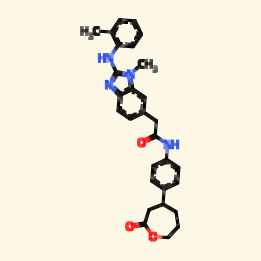 Cc1ccccc1Nc1nc2ccc(CC(=O)Nc3ccc(C4CCCOC(=O)C4)cc3)cc2n1C